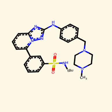 CN1CCN(Cc2ccc(Nc3nc4cccc(-c5cccc(S(=O)(=O)NC(C)(C)C)c5)n4n3)cc2)CC1